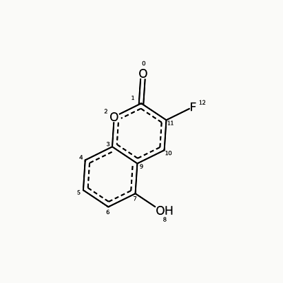 O=c1oc2cccc(O)c2cc1F